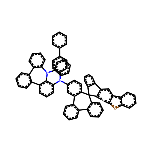 c1ccc(-c2ccc(N(c3ccc4c(c3)-c3ccccc3-c3ccccc3C43c4ccccc4-c4cc5c(cc43)sc3ccccc35)c3cccc4c3N(c3ccccc3)c3ccccc3-c3ccccc3-4)cc2)cc1